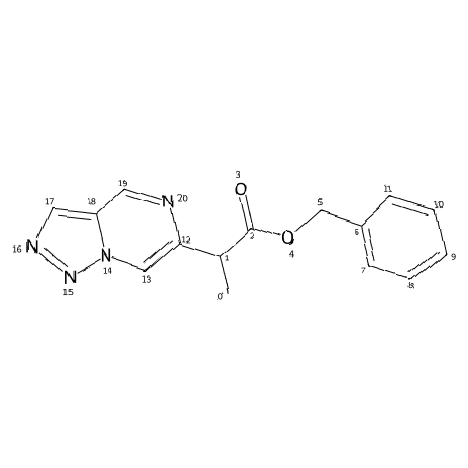 CC(C(=O)OCc1ccccc1)c1cn2nncc2cn1